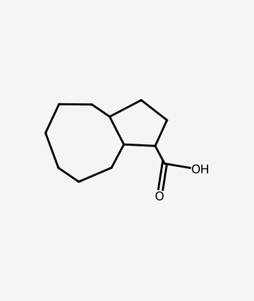 O=C(O)C1CCC2CCCCCCC21